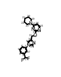 FC(F)c1cccc(-n2cc(COc3nccc(N4CCCCC4)n3)nn2)c1